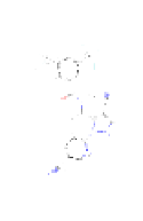 CC(c1c(C#N)cnn1-c1ccc(C#N)cn1)N(C)C(=O)c1cc(C(F)(F)F)cc(C(F)(F)F)c1